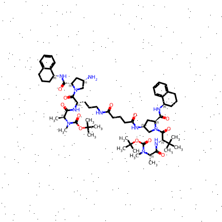 C[C@@H](C(=O)N[C@@H](CCCNC(=O)CCCC(=O)N[C@H]1C[C@@H](C(=O)N[C@@H]2CCCc3ccccc32)N(C(=O)[C@@H](NC(=O)[C@H](C)N(C)C(=O)OC(C)(C)C)C(C)(C)C)C1)C(=O)N1C[C@@H](N)C[C@H]1C(=O)N[C@@H]1CCCc2ccccc21)N(C)C(=O)OC(C)(C)C